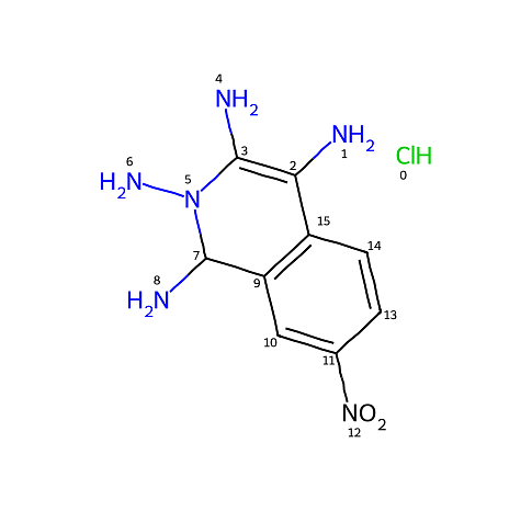 Cl.NC1=C(N)N(N)C(N)c2cc([N+](=O)[O-])ccc21